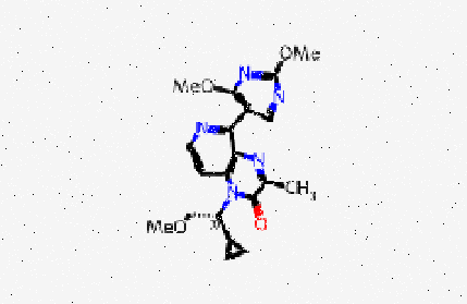 COC[C@@H](C1CC1)n1c(=O)c(C)nc2c(-c3cnc(OC)nc3OC)nccc21